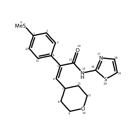 CSc1ccc(C(=CC2CCOCC2)C(=O)Nc2nccs2)cc1